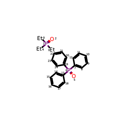 CCP(=O)(CC)CC.O=P(c1ccccc1)(c1ccccc1)c1ccccc1